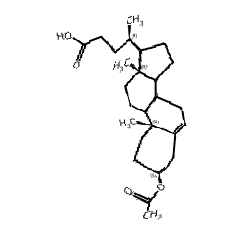 CC(=O)O[C@H]1CC[C@@]2(C)C(=CCC3C4CCC([C@H](C)CCC(=O)O)[C@@]4(C)CCC32)C1